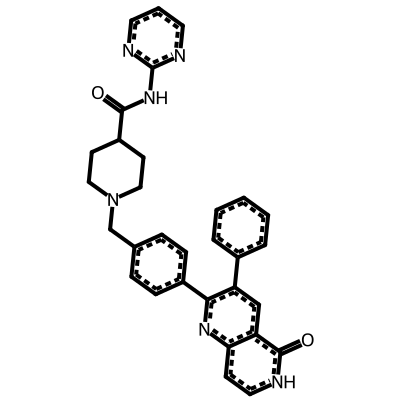 O=C(Nc1ncccn1)C1CCN(Cc2ccc(-c3nc4cc[nH]c(=O)c4cc3-c3ccccc3)cc2)CC1